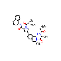 CNCC(=O)NC(C(=O)N1Cc2cc(C3C[C@@H](C(=O)N[C@@H]4CCCc5ccccc54)N(C(=O)[C@@H](NC)C(C)(C)C)C3)ccc2CC1C)C(C)(C)C